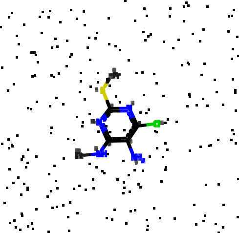 CCCSc1nc(Cl)c(N)c(NCC)n1